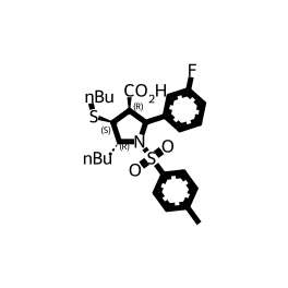 CCCCS[C@@H]1[C@@H](CCCC)N(S(=O)(=O)c2ccc(C)cc2)C(c2cccc(F)c2)[C@@H]1C(=O)O